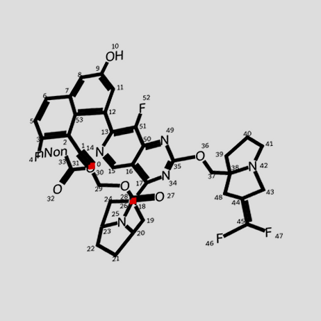 C#Cc1c(F)ccc2cc(O)cc(-c3ncc4c(N5CC6CCC(C5)N6C(=O)OCOC(=O)CCCCCCCCC)nc(OCC56CCCN5CC(=C(F)F)C6)nc4c3F)c12